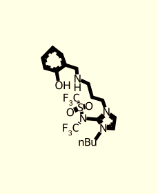 CCCC[n+]1ccn(CCCNCc2ccccc2O)c1N(C(F)(F)F)S(=O)(=O)C(F)(F)F